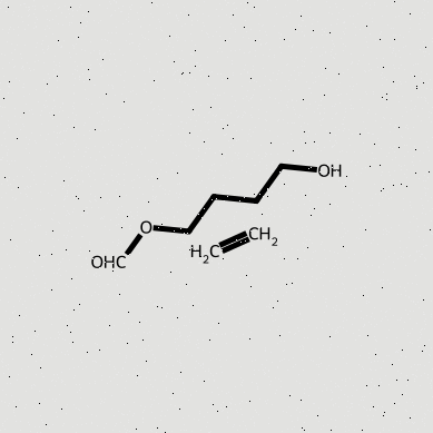 C=C.O=COCCCCO